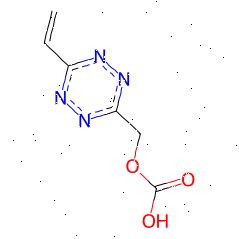 C=Cc1nnc(COC(=O)O)nn1